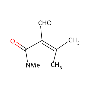 CNC(=O)C(C=O)=C(C)C